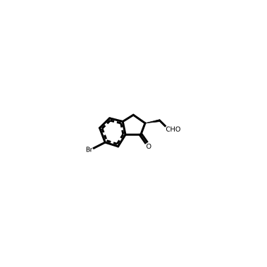 O=CC[C@@H]1Cc2ccc(Br)cc2C1=O